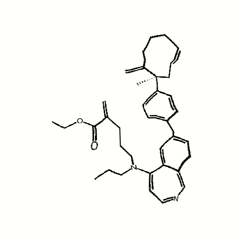 C=C(CCCN(CCC)C1=CC=NC=C2CC=C(c3ccc([C@]4(C)C/C=C/CCCC4=C)cc3)C=C21)C(=O)OCC